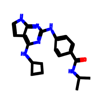 CC(C)NC(=O)c1ccc(Nc2nc(NC3CCC3)c3cc[nH]c3n2)cc1